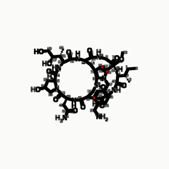 CC[C@H](C)[C@@H]1NC(=O)CNC(=O)C2Cc3c(n(Cc4ccc(CN)cc4)c4cc(OC)ccc34)[S@+]([O-])CC(NC(=O)CNC1=O)C(=O)N[C@@H](CC(N)=O)C(=O)N1CC(O)C[C@H]1C(=O)N[C@@H]([C@@H](C)[C@@H](O)CO)C(=O)N2